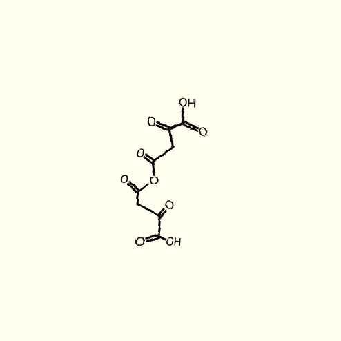 O=C(CC(=O)C(=O)O)OC(=O)CC(=O)C(=O)O